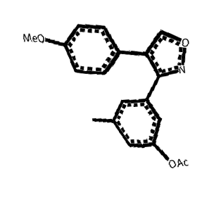 COc1ccc(-c2conc2-c2cc(C)cc(OC(C)=O)c2)cc1